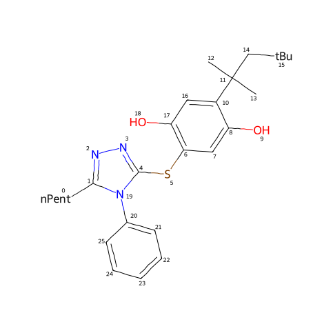 CCCCCc1nnc(Sc2cc(O)c(C(C)(C)CC(C)(C)C)cc2O)n1-c1ccccc1